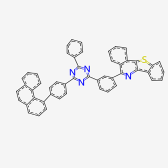 c1ccc(-c2nc(-c3ccc(-c4cccc5ccc6ccccc6c45)cc3)nc(-c3cccc(-c4nc5c6ccccc6sc5c5ccccc45)c3)n2)cc1